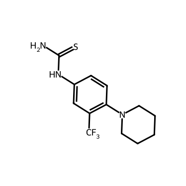 NC(=S)Nc1ccc(N2CCCCC2)c(C(F)(F)F)c1